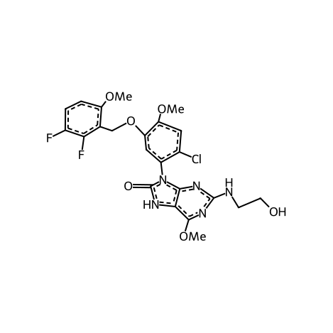 COc1cc(Cl)c(-n2c(=O)[nH]c3c(OC)nc(NCCO)nc32)cc1OCc1c(OC)ccc(F)c1F